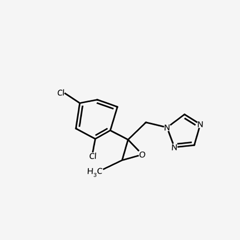 CC1OC1(Cn1cncn1)c1ccc(Cl)cc1Cl